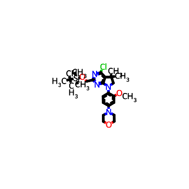 COc1cc(N2CCOCC2)ccc1N1CC(C)(C)c2c(Cl)nc(CO[Si](C)(C)C(C)(C)C)nc21